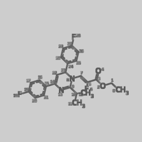 CCOC(=O)/C(F)=C/N1C(C(C)C)=NC(c2ccc(F)cc2)=CC1c1ccc(F)cc1